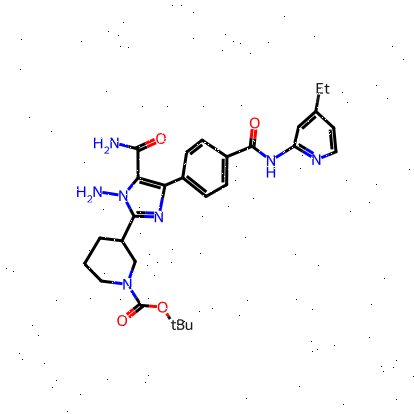 CCc1ccnc(NC(=O)c2ccc(-c3nc(C4CCCN(C(=O)OC(C)(C)C)C4)n(N)c3C(N)=O)cc2)c1